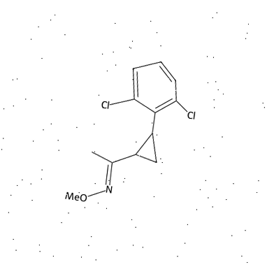 CO/N=C(\C)C1CC1c1c(Cl)cccc1Cl